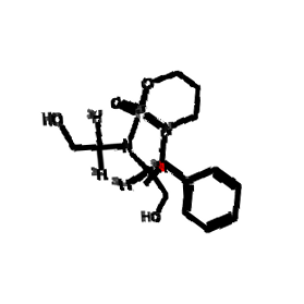 [3H]C([3H])(CO)N(C([3H])([3H])CO)P1(=O)OCCCN1C(C)c1ccccc1